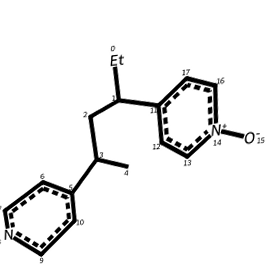 CCC(CC(C)c1ccncc1)c1cc[n+]([O-])cc1